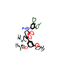 COc1cc(OC)cc(C2(C)CC(Nc3cc(Cl)cc(Cl)c3)C(=O)O2)c1